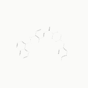 O=C(c1ccc(N[S+]([O-])c2cccc3cccnc23)c(F)c1)N1CCN(Cc2ccc(F)c(Cl)c2)CC1